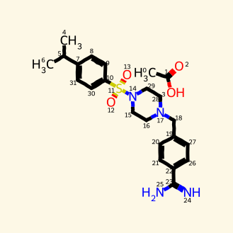 CC(=O)O.CC(C)c1ccc(S(=O)(=O)N2CCN(Cc3ccc(C(=N)N)cc3)CC2)cc1